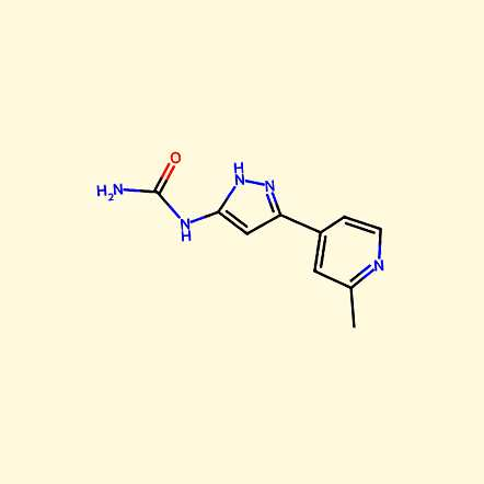 Cc1cc(-c2cc(NC(N)=O)[nH]n2)ccn1